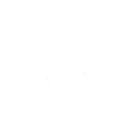 CC(C)(O)c1ccccc1CC[C@@H](SCC1CC1)c1cccc(C=Cc2ccc3ccc(Cl)cc3n2)c1.[NaH]